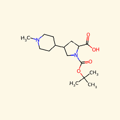 CN1CCC(C2CC(C(=O)O)N(C(=O)OC(C)(C)C)C2)CC1